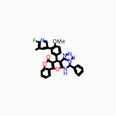 COc1ccc(C2C3=C(NC(c4ccccc4)n4nnnc43)Oc3c2c(=O)oc2ccccc32)cc1-c1cnc(F)c(C)c1